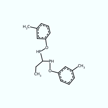 CCC(POc1cccc(C)c1)POc1cccc(C)c1